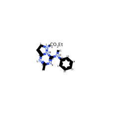 CCOC(=O)N1CC=C2N=C(C)N=C(N(C)c3ccccc3)N21